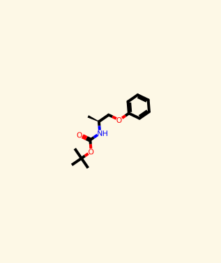 C[C@@H](COc1ccccc1)NC(=O)OC(C)(C)C